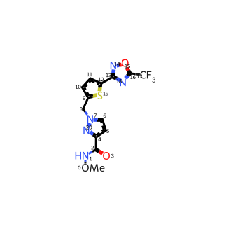 CONC(=O)c1ccn(Cc2ccc(-c3noc(C(F)(F)F)n3)s2)n1